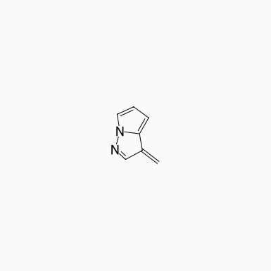 C=c1cnn2cccc12